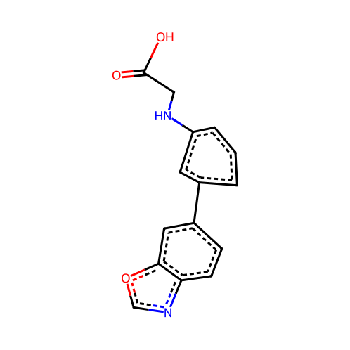 O=C(O)CNc1cccc(-c2ccc3ncoc3c2)c1